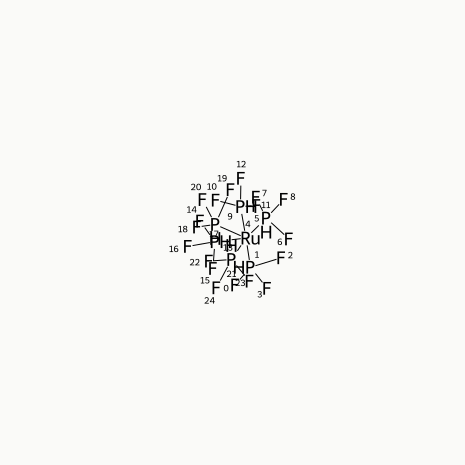 F[PH](F)(F)[Ru]([PH](F)(F)F)([PH](F)(F)F)([PH](F)(F)F)([PH](F)(F)F)[PH](F)(F)F